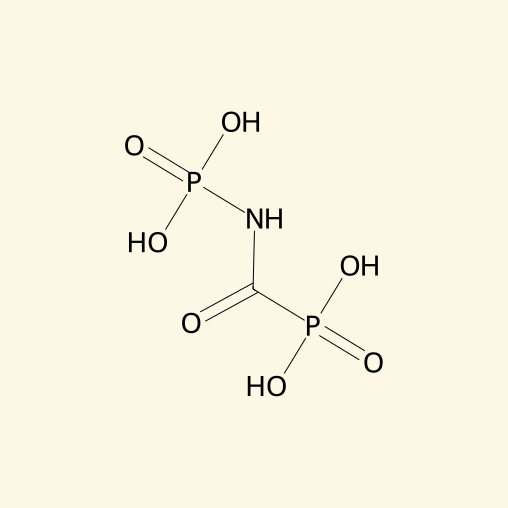 O=C(NP(=O)(O)O)P(=O)(O)O